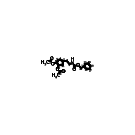 CC(=O)Oc1ccc(CCNC(=O)OCc2ccccc2)cc1OC(C)=O